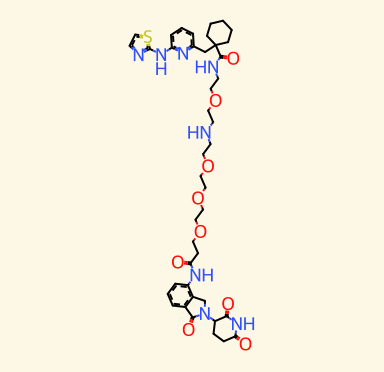 O=C1CCC(N2Cc3c(NC(=O)CCOCCOCCOCCNCCOCCNC(=O)C4(Cc5cccc(Nc6nccs6)n5)CCCCC4)cccc3C2=O)C(=O)N1